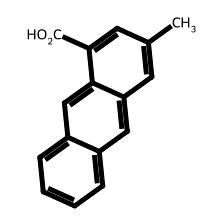 Cc1cc(C(=O)O)c2cc3ccccc3cc2c1